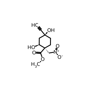 C#C[C@]1(O)CC[C@@](C[N+](=O)[O-])(C(=O)OC)[C@@H](O)C1